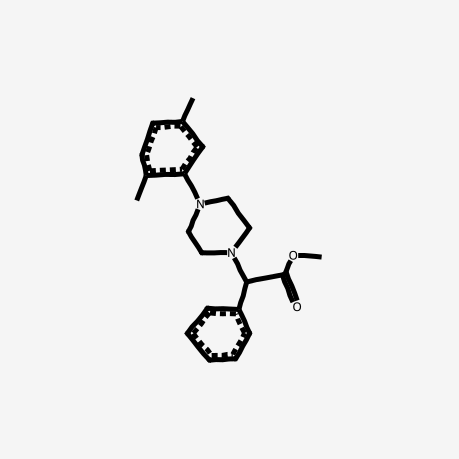 COC(=O)C(c1ccccc1)N1CCN(c2cc(C)ccc2C)CC1